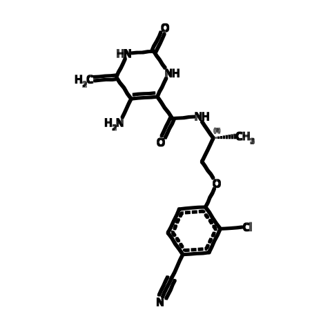 C=C1NC(=O)NC(C(=O)N[C@H](C)COc2ccc(C#N)cc2Cl)=C1N